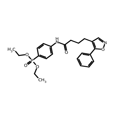 CCOP(=O)(OCC)c1ccc(NC(=O)CCCc2cnoc2-c2ccccc2)cc1